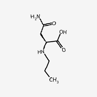 CCCN[C@@H](CC(N)=O)C(=O)O